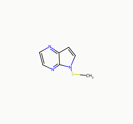 CSn1ccc2nccnc21